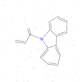 C=CC(=C)n1c2ccccc2c2ccccc21